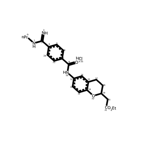 CCCNC(=N)c1ccc(C(=O)Nc2ccc3c(c2)CCC(CC(=O)OCC)O3)cc1.Cl